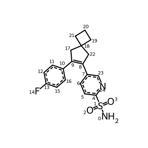 NS(=O)(=O)c1ccc(C2=C(c3ccc(F)cc3)CC3(CCC3)C2)cn1